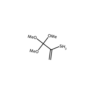 C=C([SiH3])C(OC)(OC)OC